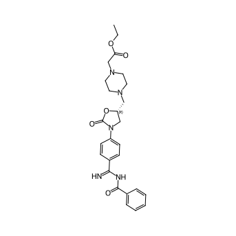 CCOC(=O)CN1CCN(C[C@@H]2CN(c3ccc(C(=N)NC(=O)c4ccccc4)cc3)C(=O)O2)CC1